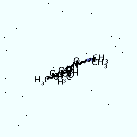 CCCC(=O)OCNC(=O)Oc1ccc(CNC(=O)CCCC/C=C/C(C)C)cc1OC